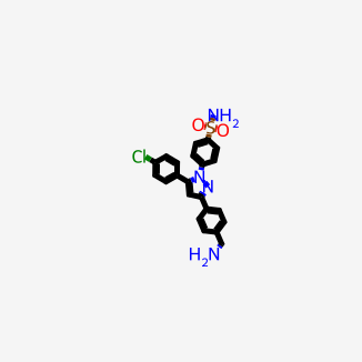 NCc1ccc(-c2cc(-c3ccc(Cl)cc3)n(-c3ccc(S(N)(=O)=O)cc3)n2)cc1